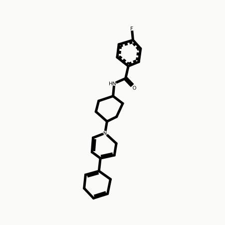 O=C(NC1CCC(N2C=CC(C3=CCC=CC3)=CC2)CC1)c1ccc(F)cc1